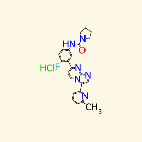 Cc1cccc(-c2cnc3nc(-c4cc(NC(=O)N5CCCC5)ccc4F)ccn23)n1.Cl